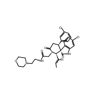 C/C=C(\CC)[C@H]1N(CC(=O)NCCN2CCOCC2)C(=O)C[C@@H](c2cccc(Cl)c2)[C@]12C(=O)Nc1cc(Cl)ccc12